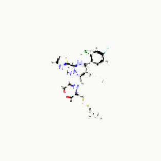 CCOC(=O)C1=C(CN2CCOCC2CSCC(=O)O)NC(c2nccs2)=N[C@H]1c1ccc(F)cc1Cl